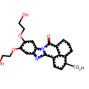 O=C(O)c1ccc2c3c1cccc3c(=O)n1c3cc(OCCO)c(OCCO)cc3nc21